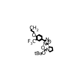 C=CCOc1ccc(-c2noc([C@@H]3CCCN3C(=O)OC(C)(C)C)n2)cc1C(F)(F)F